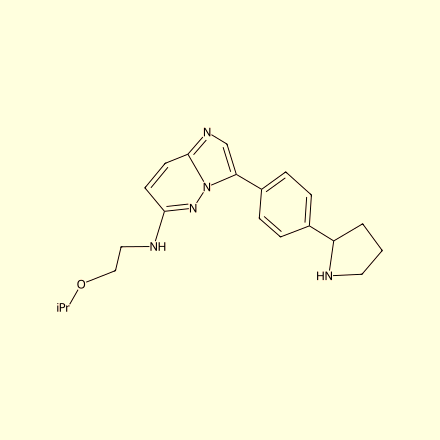 CC(C)OCCNc1ccc2ncc(-c3ccc(C4CCCN4)cc3)n2n1